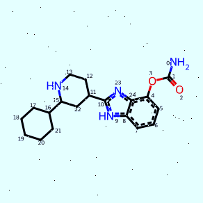 NC(=O)Oc1cccc2[nH]c(C3CCNC(C4CCCCC4)C3)nc12